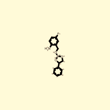 Nc1ccc(F)cc1COB1OCC(c2ccccc2)O1